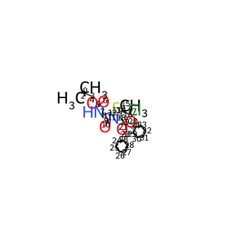 CC(C)COC(=O)NC1C(=O)N2C1SC(C)(CCl)C2C(=O)OC(c1ccccc1)c1ccccc1